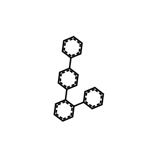 c1ccc(-c2ccc(-c3ccccc3-c3ccccc3)cc2)cc1